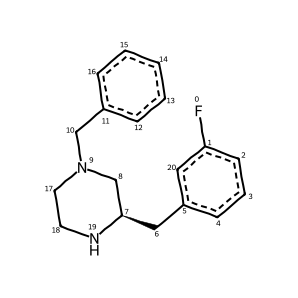 Fc1cccc(C[C@@H]2CN(Cc3ccccc3)CCN2)c1